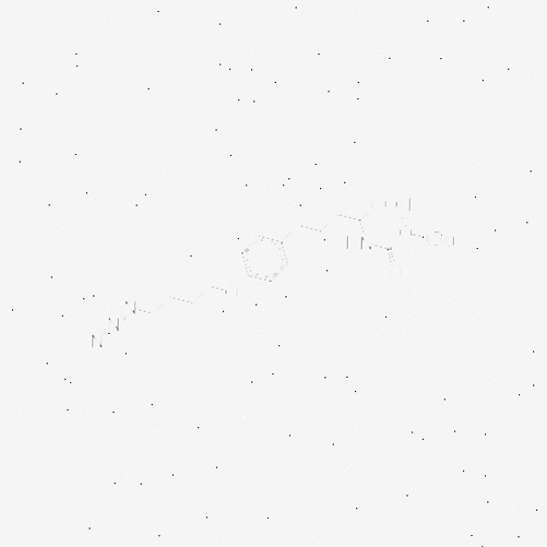 CC(C)(C)OC(=O)NC(CCCc1ccc(OCCCCN=[N+]=[N-])cc1)C(=O)O